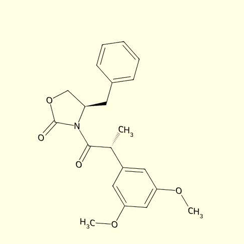 COc1cc(OC)cc([C@@H](C)C(=O)N2C(=O)OC[C@H]2Cc2ccccc2)c1